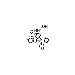 CC1CCC(Cn2c(N3CCOC[C@H]3c3ccccc3)nc3nc(NCCO)nc(N[C@H](C)C4CCC4)c32)CC1